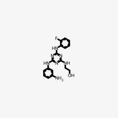 Nc1cccc(Nc2nc(NCCO)nc(Nc3ccccc3F)n2)c1